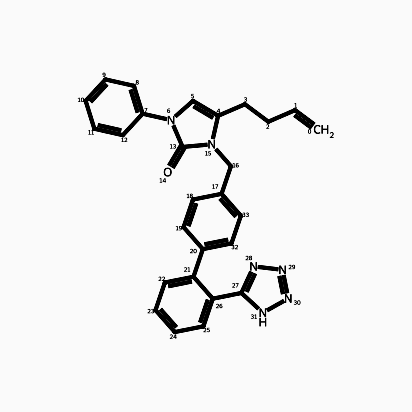 C=CCCc1cn(-c2ccccc2)c(=O)n1Cc1ccc(-c2ccccc2-c2nnn[nH]2)cc1